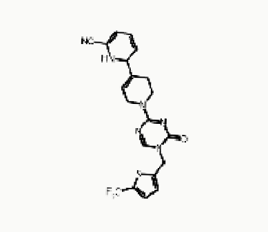 N#CC1=CC=CC(C2=CCN(c3ncn(Cc4ccc(C(F)(F)F)s4)c(=O)n3)CC2)N1